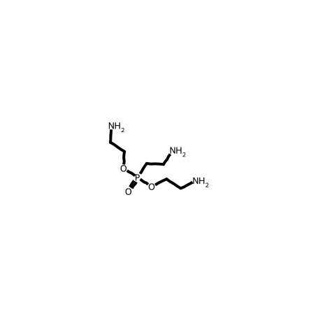 NCCOP(=O)(CCN)OCCN